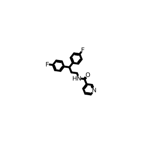 O=C(NCCC(c1ccc(F)cc1)c1ccc(F)cc1)c1cccnc1